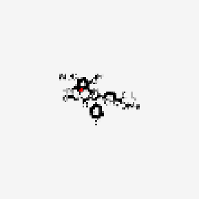 C=C(/C=C\C=C(/C)OC)[C@@H]1N=C(c2ccc(OC)cc2OC(C)C)N(C(=O)N2CCNC(=O)C2)[C@@H]1c1ccc(Cl)cc1